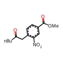 CCCCC(=O)Cc1ccc(C(=O)OC)cc1[N+](=O)[O-]